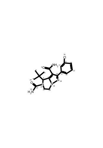 CC(C)(C)C1c2c(C(N)=O)c(-c3cccc(Cl)c3)nn2CCN1C(N)=O